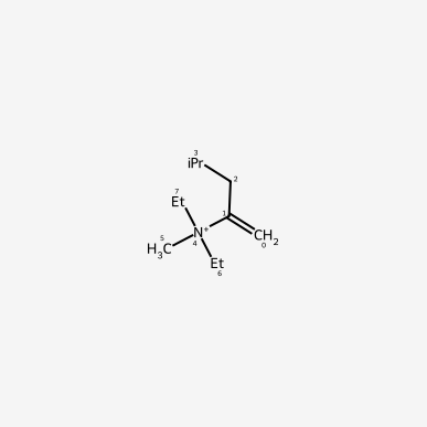 C=C(CC(C)C)[N+](C)(CC)CC